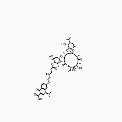 CC[C@H]1OC(=O)[C@H](C)[C@@H](O[C@H]2C[C@@](C)(OC)[C@@H](OC(=O)CCNCCOc3ccc4c(=O)c(C(=O)O)cn(N(C)C)c4c3)[C@H](C)O2)[C@H](C)[C@@H](O[C@@H]2O[C@H](C)C[C@H](N(C)C)[C@H]2O)[C@](C)(OC)C[C@@H](C)C(=O)[C@@H](C)[C@@H](O)[C@]1(C)O